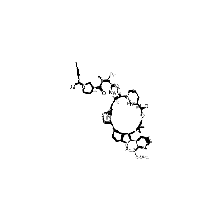 CC#CC(=O)N1CC[C@H](C(=O)N(C)C(C(=O)N[C@H]2Cc3nc(cs3)-c3ccc4c(c3)c(c(-c3cccnc3[C@H](C)OC)n4C(C)=O)CC(C)(C)COC(=O)[C@@H]3CCCN(N3)C2=O)C(C)C)C1